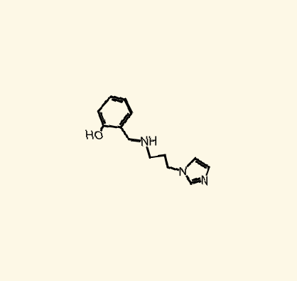 Oc1ccccc1CNCCCn1ccnc1